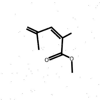 C=C(C)C=C(C)C(=O)OC